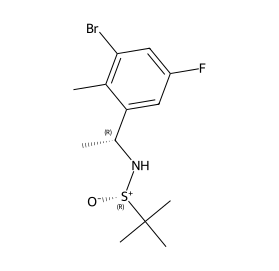 Cc1c(Br)cc(F)cc1[C@@H](C)N[S@@+]([O-])C(C)(C)C